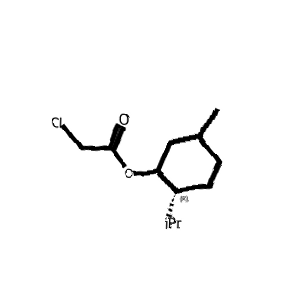 CC1CC[C@H](C(C)C)C(OC(=O)CCl)C1